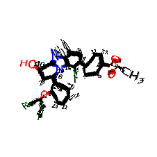 CS(=O)(=O)c1ccc(-c2ccc3nc4n(c3c2F)C(c2ccccc2OC(F)F)CC4O)cc1